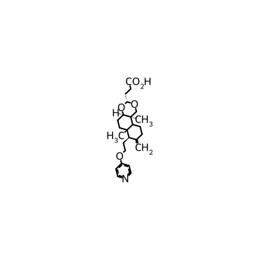 C=C1CCC2[C@]3(C)CO[C@@H](CCC(=O)O)O[C@@H]3CC[C@@]2(C)[C@@H]1CCOc1ccncc1